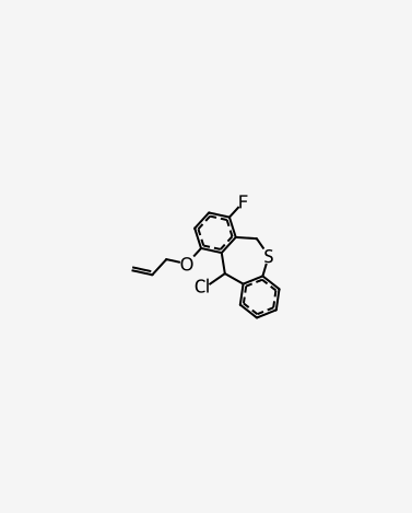 C=CCOc1ccc(F)c2c1C(Cl)c1ccccc1SC2